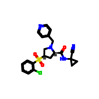 N#CC1(NC(=O)[C@@H]2C[C@@H](S(=O)(=O)c3ccccc3Cl)CN2Cc2ccncc2)CC1